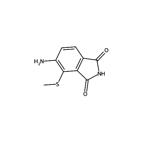 CSc1c(N)ccc2c1C(=O)NC2=O